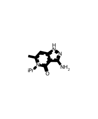 Cc1cc2[nH]nc(N)c2c(=O)n1C(C)C